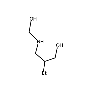 CCC(CO)CNCO